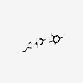 OCc1cn(-c2ncc(OCc3c(Cl)cc(F)cc3Cl)cn2)cn1